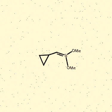 CO[Si](=CC1CC1)OC